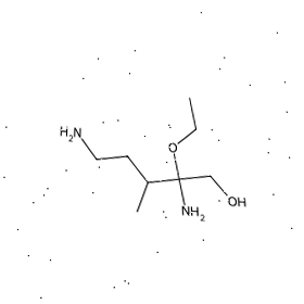 CCOC(N)(CO)C(C)CCN